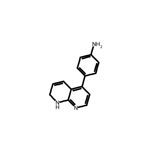 Nc1ccc(-c2ccnc3c2C=CCN3)cc1